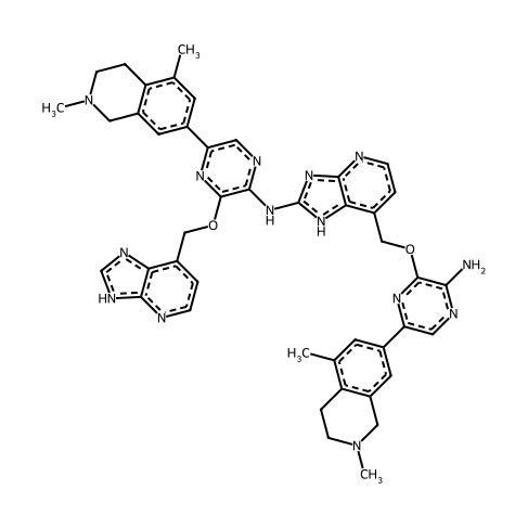 Cc1cc(-c2cnc(N)c(OCc3ccnc4nc(Nc5ncc(-c6cc(C)c7c(c6)CN(C)CC7)nc5OCc5ccnc6[nH]cnc56)[nH]c34)n2)cc2c1CCN(C)C2